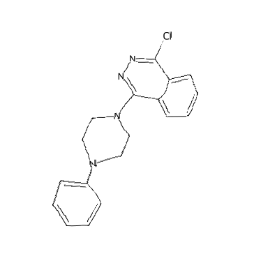 Clc1nnc(N2CCN(c3ccccc3)CC2)c2ccccc12